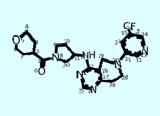 O=C(C1CCOCC1)N1CCC(Nc2ncnc3c2CN(c2cncc(C(F)(F)F)c2)CC3)C1